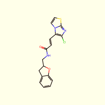 O=C(/C=C/c1c(Cl)nc2sccn12)NCC1Cc2ccccc2O1